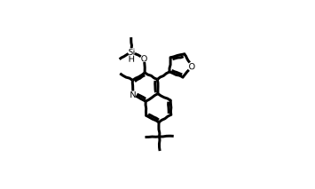 Cc1nc2cc(C(C)(C)C)ccc2c(-c2ccoc2)c1O[SiH](C)C